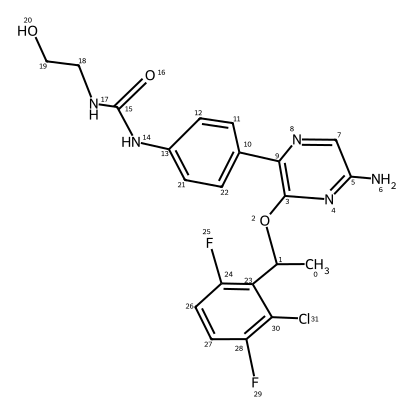 CC(Oc1nc(N)cnc1-c1ccc(NC(=O)NCCO)cc1)c1c(F)ccc(F)c1Cl